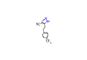 Cn1ncc(C#N)c1CCc1ccc(C(F)(F)F)cc1